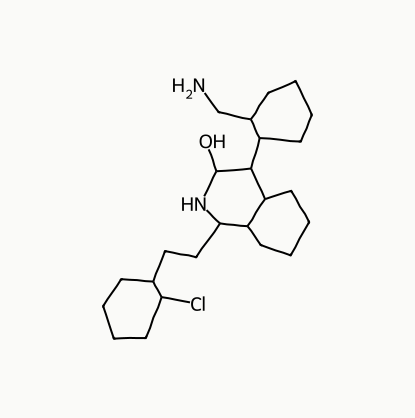 NCC1CCCCC1C1C(O)NC(CCC2CCCCC2Cl)C2CCCCC21